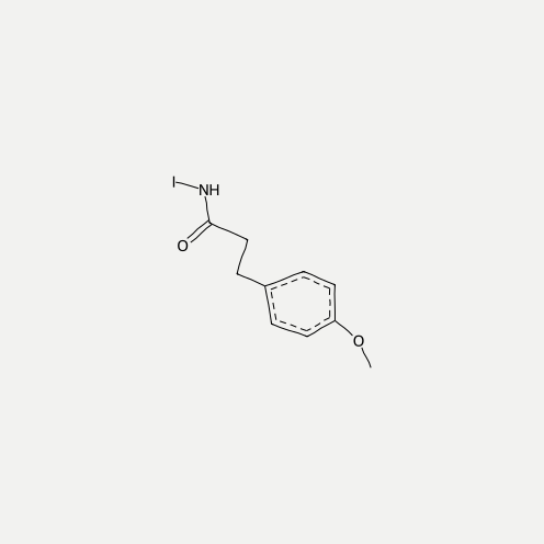 COc1ccc(CCC(=O)NI)cc1